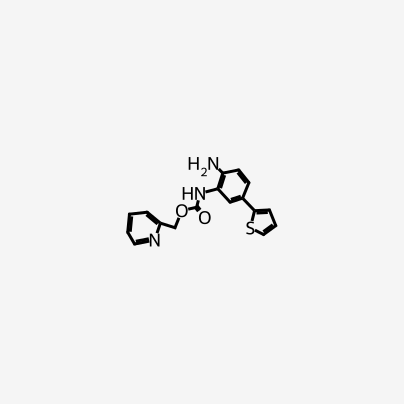 Nc1ccc(-c2cccs2)cc1NC(=O)OCc1ccccn1